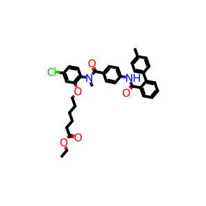 CCOC(=O)CCCCCOc1cc(Cl)ccc1N(C)C(=O)c1ccc(NC(=O)c2ccccc2-c2ccc(C)cc2)cc1